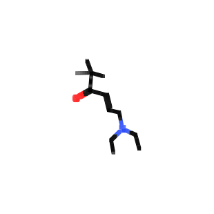 CCN(CC)C/C=C/C(=O)C(C)(C)C